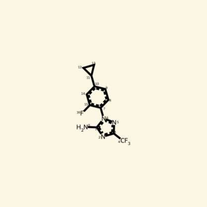 Nc1nc(C(F)(F)F)nn1-c1ccc(C2CC2)cc1F